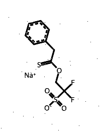 O=S(=O)([O-])C(F)(F)COC(=S)Cc1ccccc1.[Na+]